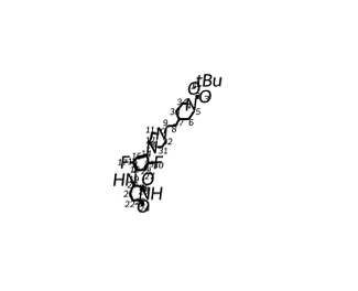 CC(C)(C)OC(=O)N1CCC(CCN2CCN(c3cc(F)c(NC4CCC(=O)NC4=O)cc3F)CC2)CC1